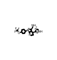 NCc1nn(-c2ccc(OC(F)(F)F)cc2)c2nccc(-c3nc[nH]n3)c12